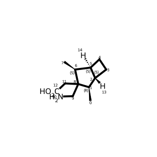 C[C@@H]1[C@H]2CC[C@@H]2[C@H](C)C1(CN)CC(=O)O